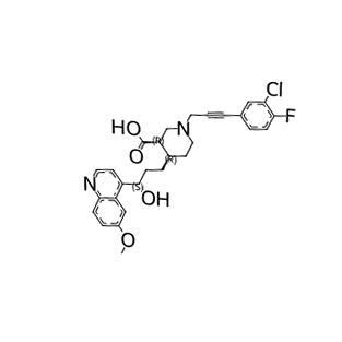 COc1ccc2nccc([C@@H](O)CC[C@@H]3CCN(CC#Cc4ccc(F)c(Cl)c4)C[C@@H]3C(=O)O)c2c1